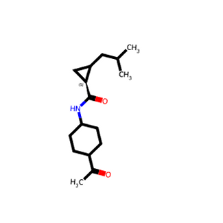 CC(=O)C1CCC(NC(=O)[C@H]2CC2CC(C)C)CC1